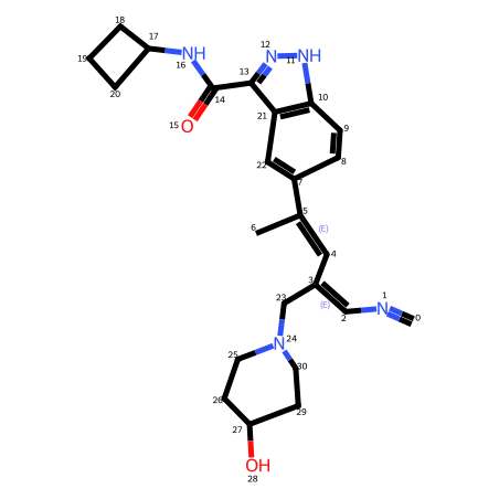 C=N/C=C(\C=C(/C)c1ccc2[nH]nc(C(=O)NC3CCC3)c2c1)CN1CCC(O)CC1